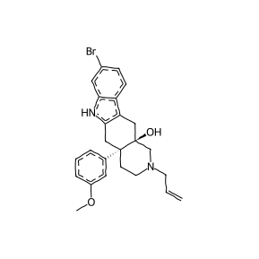 C=CCN1CC[C@@]2(c3cccc(OC)c3)Cc3[nH]c4cc(Br)ccc4c3C[C@]2(O)C1